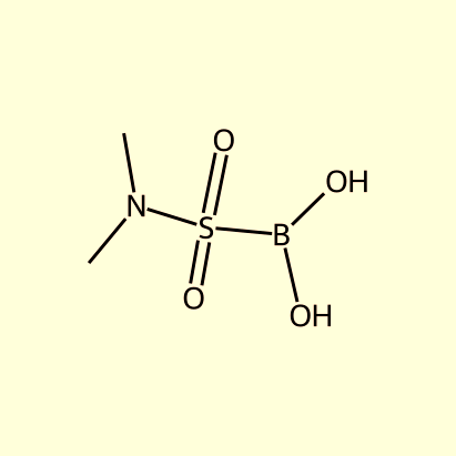 CN(C)S(=O)(=O)B(O)O